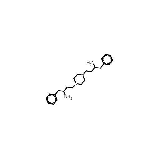 NC(CCN1CCN(CCC(N)Cc2ccccc2)CC1)Cc1ccccc1